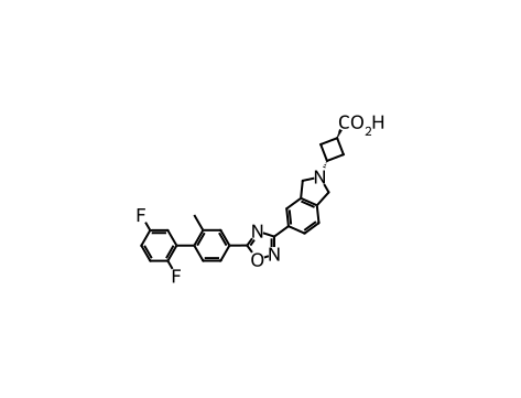 Cc1cc(-c2nc(-c3ccc4c(c3)CN([C@H]3C[C@H](C(=O)O)C3)C4)no2)ccc1-c1cc(F)ccc1F